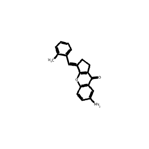 Cc1ccccc1/C=C1\CCc2c1oc1ccc(N)cc1c2=O